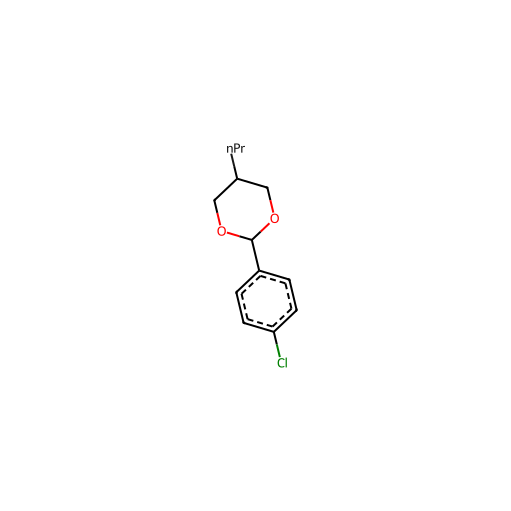 CCCC1COC(c2ccc(Cl)cc2)OC1